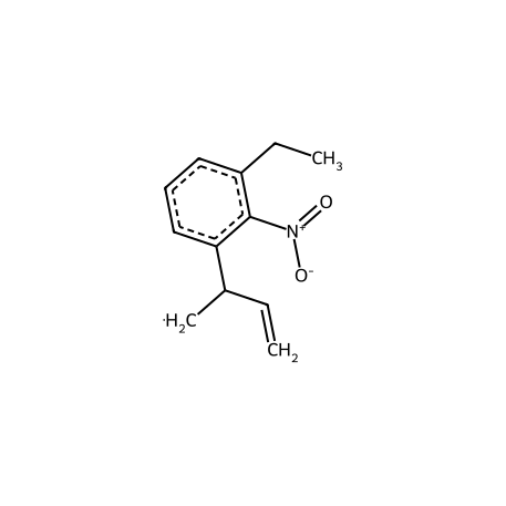 [CH2]C(C=C)c1cccc(CC)c1[N+](=O)[O-]